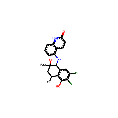 CCC1CC(O)(C(F)(F)F)[C@@H](Nc2cccc3[nH]c(=O)ccc23)c2cc(Cl)c(F)c(O)c21